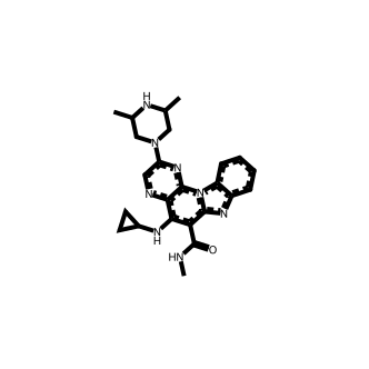 CNC(=O)c1c(NC2CC2)c2ncc(N3CC(C)NC(C)C3)nc2n2c1nc1ccccc12